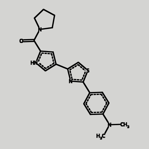 CN(C)c1ccc(-c2nc(-c3c[nH]c(C(=O)N4CCCC4)c3)cs2)cc1